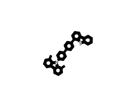 Cc1cccc2c3cccc(C)c3n(-c3ccc(-c4ccc(-c5cccc6c5sc5ccccc56)cc4)cc3)c12